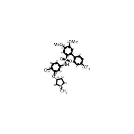 COc1cc(-c2ccc(C(F)(F)F)cc2)c(S(=O)(=O)Nc2ccc(Cl)c(O[C@@H]3CCN(C)C3)c2)cc1OC